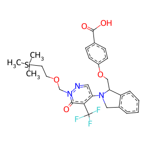 C[Si](C)(C)CCOCn1ncc(N2Cc3ccccc3C2COc2ccc(C(=O)O)cc2)c(C(F)(F)F)c1=O